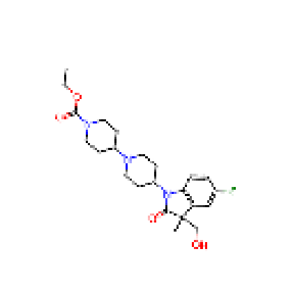 CCOC(=O)N1CCC(N2CCC(N3C(=O)C(C)(CO)c4cc(F)ccc43)CC2)CC1